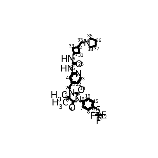 CC1(C)C(=O)N(c2ccc(SC(F)(F)F)cc2)C(=O)N1Cc1ccnc(NC(=O)NC2CC(CN3CCCC3)C2)c1